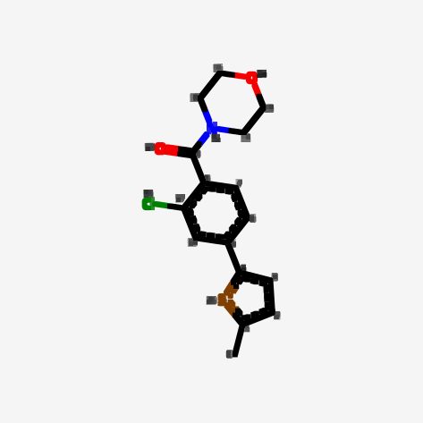 Cc1ccc(-c2ccc(C(=O)N3CCOCC3)c(Cl)c2)s1